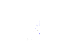 N#Cc1ccc(-c2ccc(C(=O)N3CCC[C@@H](n4c(=O)[nH]c5cnc6[nH]ccc6c54)C3)cc2)cc1